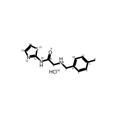 Cc1ccc(CNCC(=O)Nc2nccs2)cc1.Cl